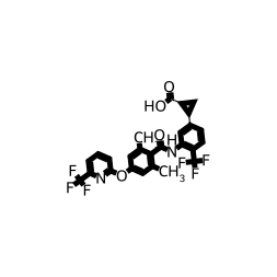 Cc1cc(Oc2cccc(C(F)(F)F)n2)cc(C)c1C(=O)Nc1cc([C@H]2C[C@H]2C(=O)O)ccc1C(F)(F)F